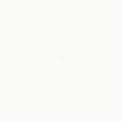 Cc1cc(Br)cc(O[C@@H]2CCOC2)n1